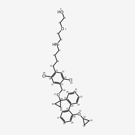 OCCOCCNCCCCc1cc(Cl)c(COC2(c3cnccc3-c3ccccc3OC3CC3)CC2)cc1Cl